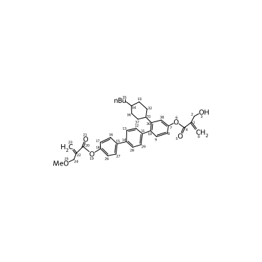 C=C(CO)C(=O)Oc1ccc(-c2ccc(-c3ccc(OC(=O)C(=C)COC)cc3)cc2)c(C2CCC(CCCC)CC2)c1